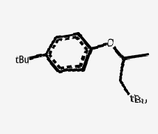 CC(CC(C)(C)C)Oc1ccc(C(C)(C)C)cc1